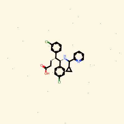 O=C(O)CC[C@H](c1cccc(Cl)c1)[C@H](NC(c1ccccn1)C1CC1)c1ccc(Cl)cc1